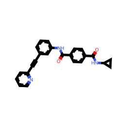 O=C(Nc1cccc(C#Cc2ccccn2)c1)c1ccc(C(=O)NC2CC2)cc1